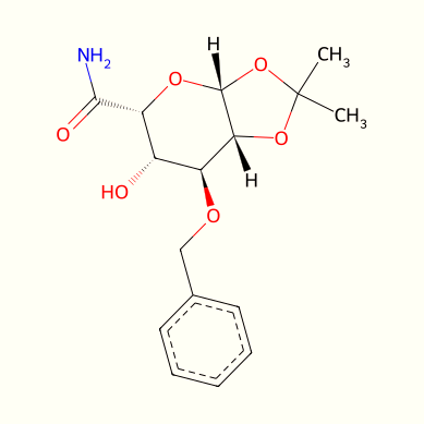 CC1(C)O[C@H]2O[C@@H](C(N)=O)[C@@H](O)[C@H](OCc3ccccc3)[C@H]2O1